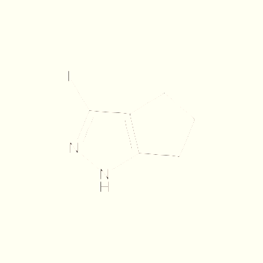 Ic1n[nH]c2c1CCC2